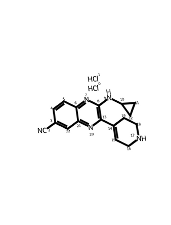 Cl.Cl.N#Cc1ccc2nc(NC3CC3)c(C3=CCNCC3)nc2c1